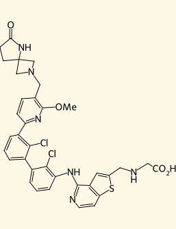 COc1nc(-c2cccc(-c3cccc(Nc4nccc5sc(CNCC(=O)O)cc45)c3Cl)c2Cl)ccc1CN1CC2(CCC(=O)N2)C1